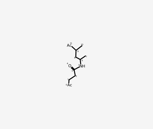 CC(=O)CCC(=O)NC(C)CC(C)C(C)=O